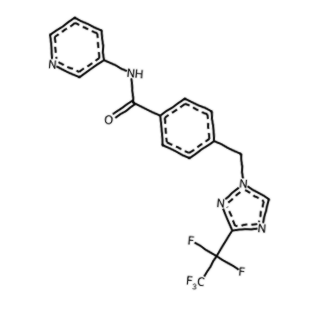 O=C(Nc1cccnc1)c1ccc(Cn2cnc(C(F)(F)C(F)(F)F)n2)cc1